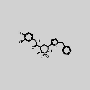 CN1C(C(=O)Nc2ccc(F)c(Cl)c2)CC(c2ccc(Cc3ccccc3)s2)NS1(=O)=O